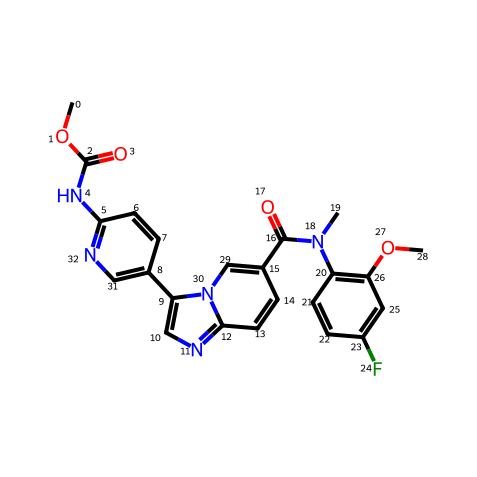 COC(=O)Nc1ccc(-c2cnc3ccc(C(=O)N(C)c4ccc(F)cc4OC)cn23)cn1